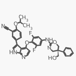 CC(C)Oc1ccc(-c2c[nH]c3nccc(Oc4c(F)cc(NC5=NC[C@@](CO)(c6ccccc6)CO5)cc4F)c23)cc1C#N